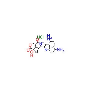 CC[C@@]1(O)C(=O)OCc2c1cc1n(c2=O)Cc2c-1nc1ccc(N)c3c1c2C(N)CC3.Cl